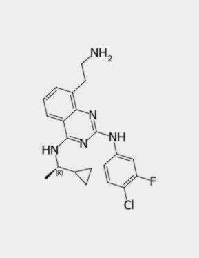 C[C@@H](Nc1nc(Nc2ccc(Cl)c(F)c2)nc2c(CCN)cccc12)C1CC1